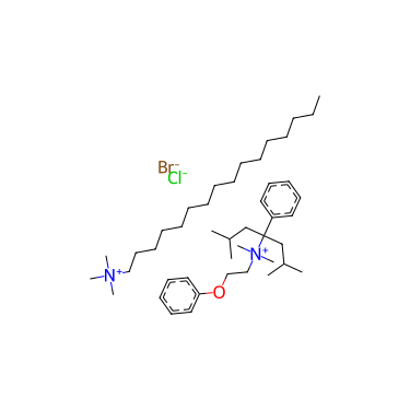 CC(C)CC(CC(C)C)(c1ccccc1)[N+](C)(C)CCOc1ccccc1.CCCCCCCCCCCCCCCC[N+](C)(C)C.[Br-].[Cl-]